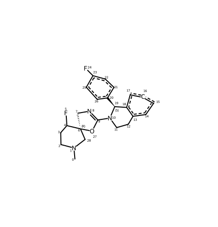 CN1CCC(F)[C@]2(CN=C(N3CCc4ccccc4[C@@H]3c3ccc(F)cc3)O2)C1